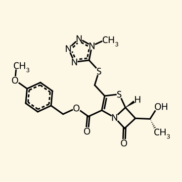 COc1ccc(COC(=O)C2=C(CSc3nnnn3C)S[C@@H]3C([C@@H](C)O)C(=O)N23)cc1